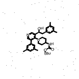 Cc1cc(C)cc(CC(O)c2cncc(-c3cc(C)cc(C)c3)c2N2CCC(NC(=O)OC(C)(C)C)CC2)c1